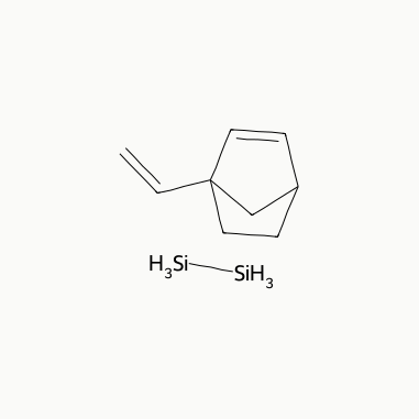 C=CC12C=CC(CC1)C2.[SiH3][SiH3]